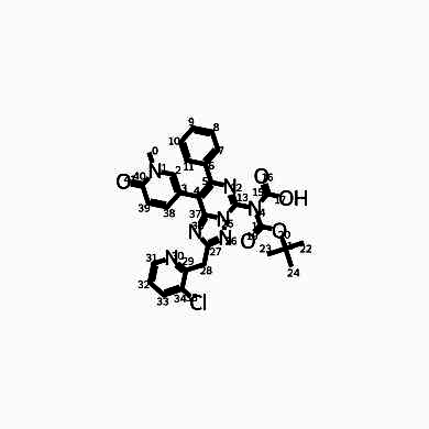 Cn1cc(-c2c(-c3ccccc3)nc(N(C(=O)O)C(=O)OC(C)(C)C)n3nc(Cc4ncccc4Cl)nc23)ccc1=O